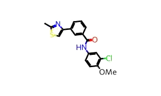 COc1ccc(NC(=O)c2cccc(-c3csc(C)n3)c2)cc1Cl